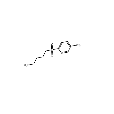 Cc1ccc(S(=O)(=O)CCCCN)cc1